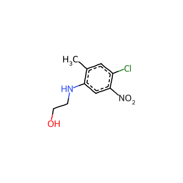 Cc1cc(Cl)c([N+](=O)[O-])cc1NCCO